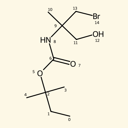 CCC(C)(C)OC(=O)NC(C)(CO)CBr